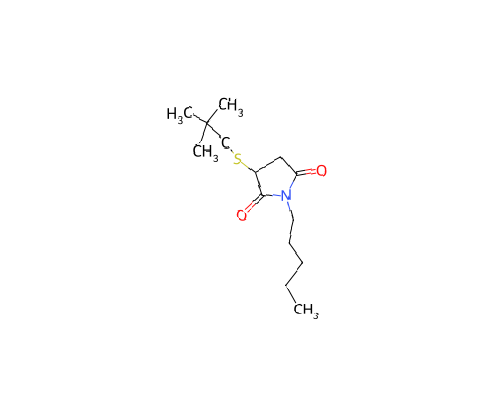 CCCCCN1C(=O)CC(SCC(C)(C)C)C1=O